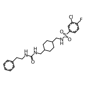 O=C(NCCc1ccccc1)NCC1CCC(CNS(=O)(=O)c2ccc(F)c(Cl)c2)CC1